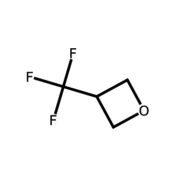 FC(F)(F)C1COC1